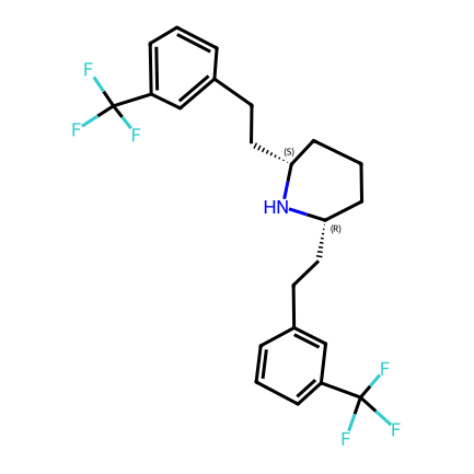 FC(F)(F)c1cccc(CC[C@H]2CCC[C@@H](CCc3cccc(C(F)(F)F)c3)N2)c1